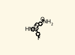 NC(=O)c1ccc2c(c1)CCOC2CC(c1ccc(F)cc1)N1CCNCC1